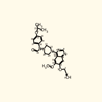 C#CCOc1cc2ncnc(N3CCN(N(C=O)c4ccc(OC(C)C)cc4)CC3)c2cc1OC